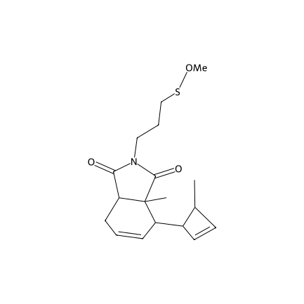 COSCCCN1C(=O)C2CC=CC(C3C=CC3C)C2(C)C1=O